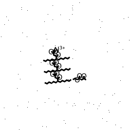 CCCCCCC(CCCCCC)C(=O)CC(=O)[O-].CCCCCCC(CCCCCC)C(=O)CC(=O)[O-].CCCCCCC(CCCCCC)C(=O)CC(=O)[O-].CCOC(=O)CC(C)=O.[Al+3]